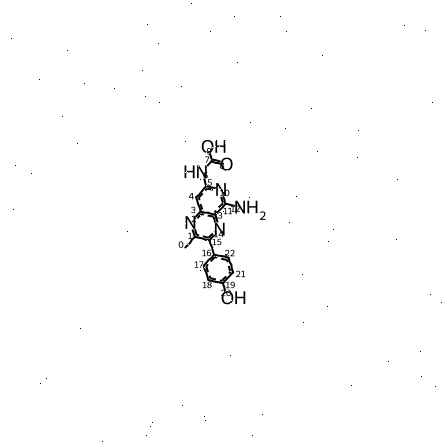 Cc1nc2cc(NC(=O)O)nc(N)c2nc1-c1ccc(O)cc1